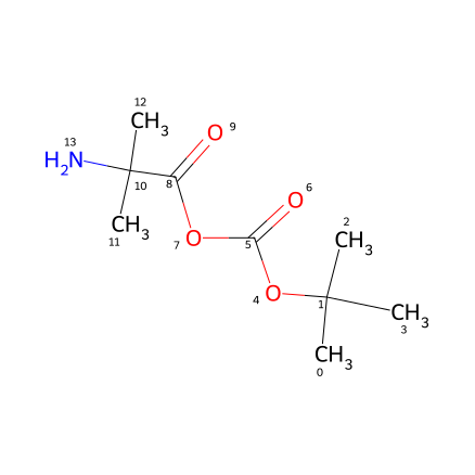 CC(C)(C)OC(=O)OC(=O)C(C)(C)N